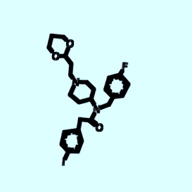 O=C(Cc1ccc(I)cc1)N(Cc1ccc(F)cc1)C1CCN(CCC2OCCCO2)CC1